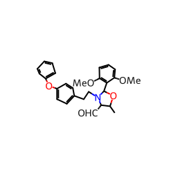 COc1cccc(OC)c1C1OC(C)C(C=O)N1CCc1ccc(Oc2ccccc2)cc1